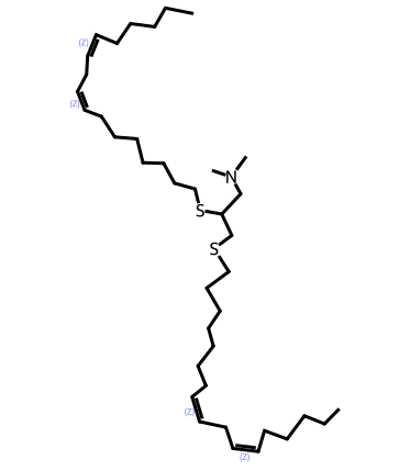 CCCCC/C=C\C/C=C\CCCCCCCSCC(CN(C)C)SCCCCCCC/C=C\C/C=C\CCCCC